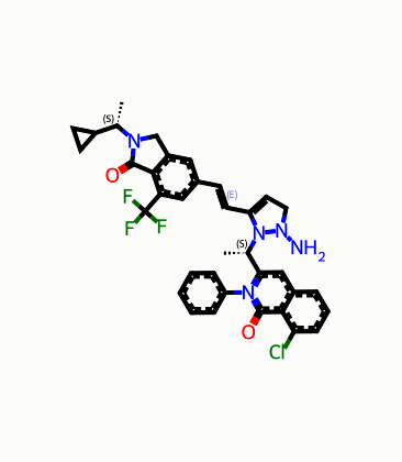 C[C@@H](C1CC1)N1Cc2cc(/C=C/C3=CCN(N)N3[C@@H](C)c3cc4cccc(Cl)c4c(=O)n3-c3ccccc3)cc(C(F)(F)F)c2C1=O